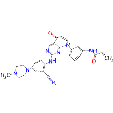 C=CC(=O)Nc1cccc(-n2ccc(=O)c3cnc(Nc4ccc(N5CCN(C)CC5)cc4C#N)nc32)c1